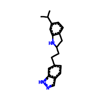 CC(C)c1ccc2c(c1)NC(CCc1ccc3cn[nH]c3c1)C2